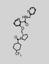 O=C(NCc1ccccn1)c1ncccc1OC[C@H]1CCCN1C(=O)C1CCC(C(F)(F)F)CC1